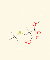 CCOC(=O)[C@](C)(CSC(C)(C)C)C(=O)O